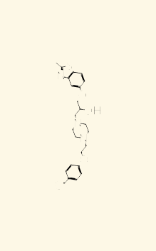 Cc1nc2cc(OCC(O)CN3CCN(CCOc4ccc(Cl)cc4)CC3)ccc2s1